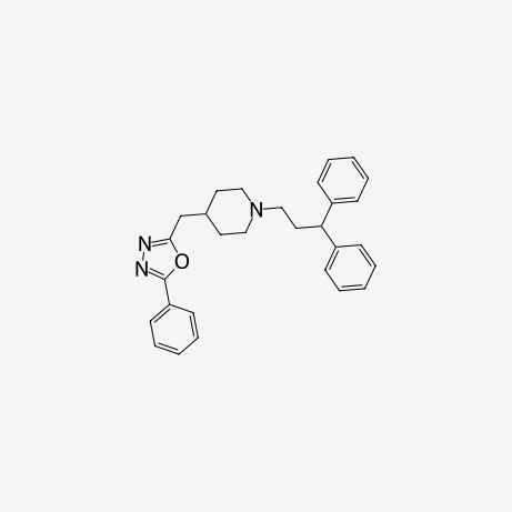 c1ccc(-c2nnc(CC3CCN(CCC(c4ccccc4)c4ccccc4)CC3)o2)cc1